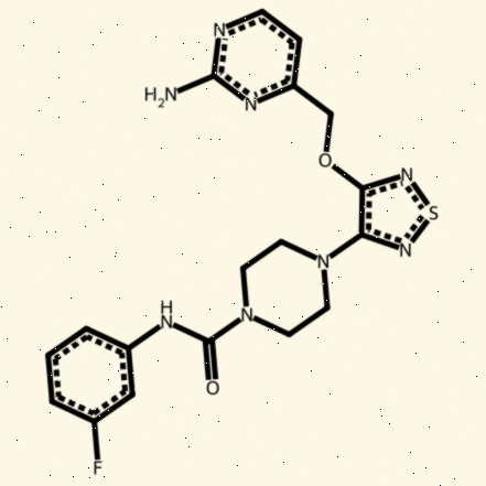 Nc1nccc(COc2nsnc2N2CCN(C(=O)Nc3cccc(F)c3)CC2)n1